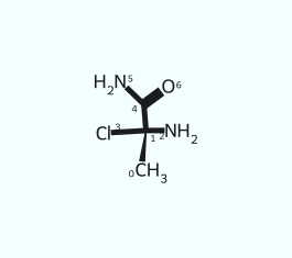 C[C@@](N)(Cl)C(N)=O